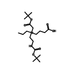 CCC[N+](CCCC(=O)O)(CCNC(=O)OC(C)(C)C)CC(=O)OC(C)(C)C